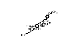 C=CCCCN(CC(=O)Nc1c(Cl)cc(CC(=NC(=O)CC(=NOCC)c2ccc(OCC=C)cc2)N(C(=O)O)C(C)(C)C)cc1Cl)C(=O)OC(C)(C)C